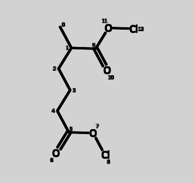 CC(CCCC(=O)OCl)C(=O)OCl